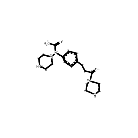 CC(=O)N(c1ccc(CCC(=O)N2CCOCC2)cc1)N1CCNCC1